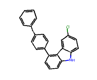 Clc1ccc2[nH]c3cccc(-c4ccc(-c5ccccc5)cc4)c3c2c1